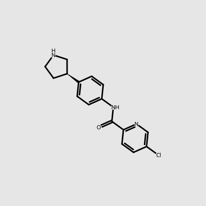 O=C(Nc1ccc([C@H]2CCNC2)cc1)c1ccc(Cl)cn1